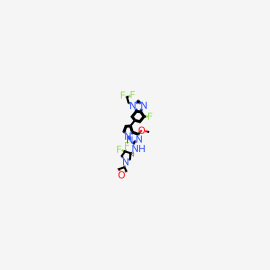 COc1nc(N[C@@H]2CN(C3COC3)CC2(F)F)nn2ccc(-c3cc(F)c4ncn(CC(F)F)c4c3)c12